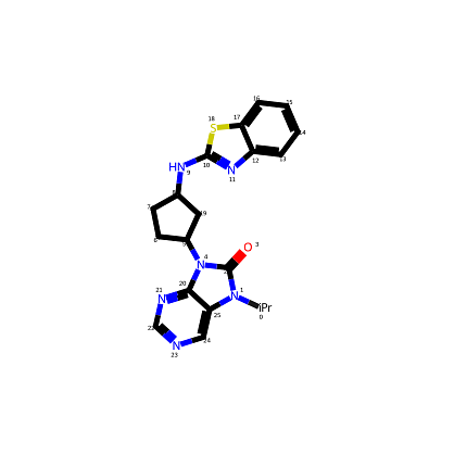 CC(C)n1c(=O)n(C2CCC(Nc3nc4ccccc4s3)C2)c2ncncc21